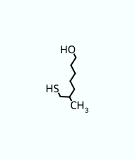 CC(CS)CCCCCO